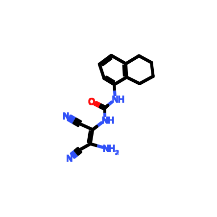 N#CC(N)=C(C#N)NC(=O)Nc1cccc2c1CCCC2